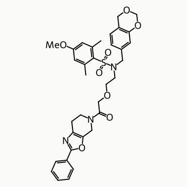 COc1cc(C)c(S(=O)(=O)N(CCOCC(=O)N2CCc3nc(-c4ccccc4)oc3C2)Cc2ccc3c(c2)OCOC3)c(C)c1